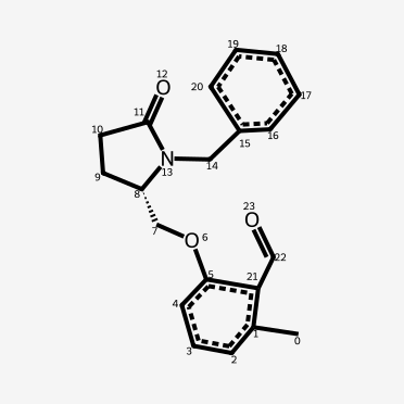 Cc1cccc(OC[C@@H]2CCC(=O)N2Cc2ccccc2)c1C=O